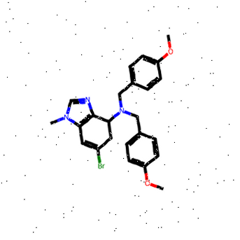 COc1ccc(CN(Cc2ccc(OC)cc2)C2CC(Br)=Cc3c2ncn3C)cc1